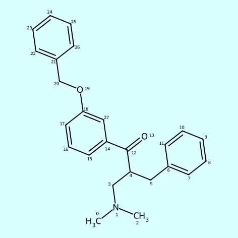 CN(C)CC(Cc1ccccc1)C(=O)c1cccc(OCc2ccccc2)c1